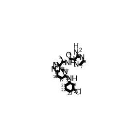 C[C@@H](NC(=O)c1nccnc1N)c1nnc2ccc(Nc3cccc(Cl)c3)nn12